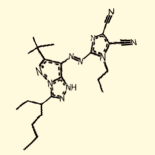 CCCCC(CC)c1n[nH]c2c(N=Nc3nc(C#N)c(C#N)n3CCC)c(C(C)(C)C)nn12